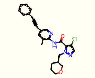 Cc1cc(C#Cc2ccccc2)cnc1NC(=O)c1c(Cl)cnn1CC1CCCOC1